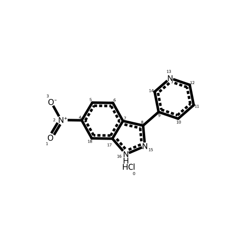 Cl.O=[N+]([O-])c1ccc2c(-c3cccnc3)n[nH]c2c1